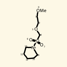 COCCOCS(=O)(=O)N1CCCCC1